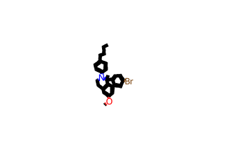 CCCCc1ccc(N2CCc3cc(OC)ccc3C2(C)c2ccc(Br)cc2)cc1